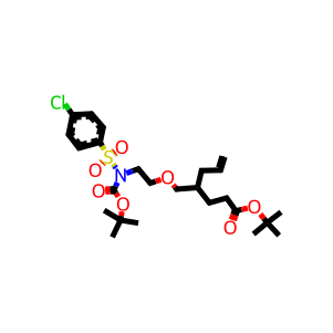 C=CCC(CCC(=O)OC(C)(C)C)COCCN(C(=O)OC(C)(C)C)S(=O)(=O)c1ccc(Cl)cc1